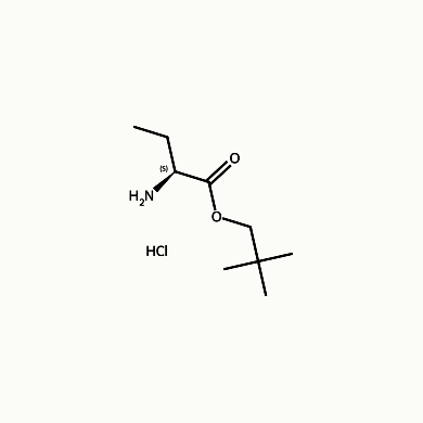 CC[C@H](N)C(=O)OCC(C)(C)C.Cl